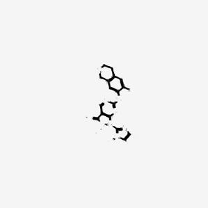 CCn1c(=O)c2cnc(Nc3cc4c(cc3F)CCNC4)nc2n1-c1nccn1C(C)(C)C